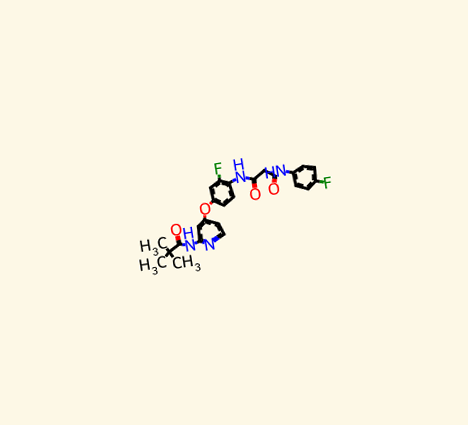 CC(C)(C)C(=O)Nc1cc(Oc2ccc(NC(=O)CC(=O)Nc3ccc(F)cc3)c(F)c2)ccn1